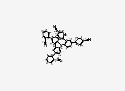 N#Cc1cnc(-c2ccc(-n3c4ccc(-c5ccccc5C#N)cc4c4cc(-c5ccccc5C#N)ccc43)c(-c3ncc(C#N)cn3)c2)nc1